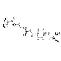 C=C(C)C(=O)OCCOC(=O)CCN1CCN(CCN(C)C)CC1